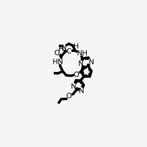 CCCOCc1ncc(-c2ccc3ncc4nc3c2OCCC(CC)CNC(=O)[C@@H]2C[C@H](CCN2C)N4)cn1